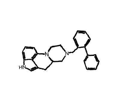 c1ccc(-c2ccccc2CN2CCN3c4cccc5[nH]cc(c45)CC3C2)cc1